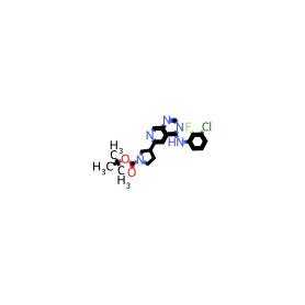 CC(C)(C)OC(=O)N1CCC(c2cc3c(Nc4cccc(Cl)c4F)ncnc3cn2)C1